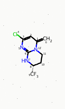 C=C1C=C(Cl)N=C2N[C@@H](C(F)(F)F)CCN12